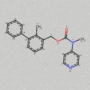 Cc1c(COC(=O)N(C)c2ccncc2)cccc1-c1ccccc1